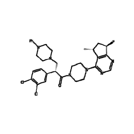 CC(C)N1CCN(C[C@H](C(=O)N2CCN(c3ncnc4c3[C@H](C)C[C@H]4F)CC2)c2ccc(Cl)c(Cl)c2)CC1